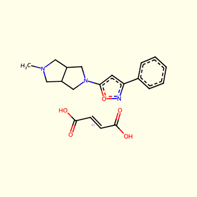 CN1CC2CN(c3cc(-c4ccccc4)no3)CC2C1.O=C(O)/C=C/C(=O)O